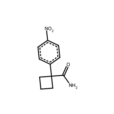 NC(=O)C1(c2ccc([N+](=O)[O-])cc2)CCC1